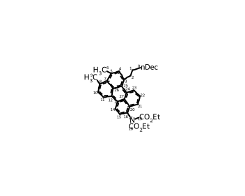 CCCCCCCCCCCCc1cc(C)c2c(C)ccc3c4ccc(N(C(=O)OCC)C(=O)OCC)c5cccc(c1c23)c54